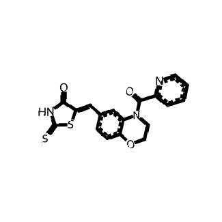 O=C1NC(=S)S/C1=C\c1ccc2c(c1)N(C(=O)c1ccccn1)CCO2